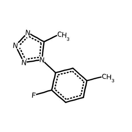 Cc1ccc(F)c(-n2nnnc2C)c1